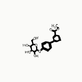 COC(=O)c1cccc(-c2ccc(OC3OC(CO)[C@H](O)C(O)C3O)cc2)c1